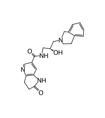 O=C1CCc2ncc(C(=O)NC[C@H](O)CN3CCc4ccccc4C3)cc2N1